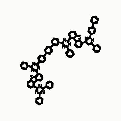 C1=CC2C3=C(c4nc(C5=CCCC(c6ccc(-c7ccc(-c8nc(-c9ccccc9)nc(-c9cccc%10c9sc9cccc(-c%11nc(-c%12ccccc%12)nc(-c%12ccccc%12)n%11)c9%10)n8)cc7)cc6)=C5)nc(-c5ccccc5)n4)CCC=C3SC2C(c2cc(-c3ccccc3)nc(-c3ccc(-c4ccccc4)cc3)n2)=C1